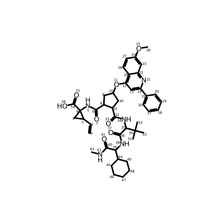 C=CC1CC1(NC(=O)C1CC(Oc2cc(-c3ccccc3)nc3cc(OC)ccc23)CC1C(=O)NC(C(=O)NC(C(=O)NC)C1CCCCC1)C(C)(C)C)C(=O)O